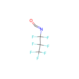 O=C=NC(F)(F)C(F)(F)C(F)(F)F